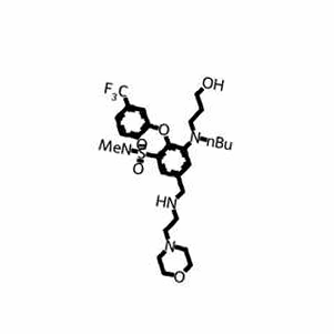 CCCCN(CCCO)c1cc(CNCCN2CCOCC2)cc(S(=O)(=O)NC)c1Oc1cccc(C(F)(F)F)c1